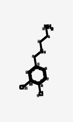 NCCSCc1ccc(Cl)c(Cl)c1